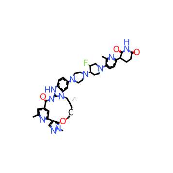 Cc1cc2cc(n1)-c1cnn(C)c1OCCC[C@@H](C)CN1/C(=N/C2=O)Nc2ccc(N3CCN([C@H]4CCN(c5ccc(C6CCC(=O)NC6=O)nc5C)C[C@@H]4F)CC3)cc21